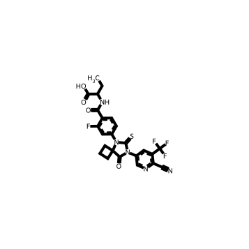 CCC(NC(=O)c1ccc(N2C(=S)N(c3cnc(C#N)c(C(F)(F)F)c3)C(=O)C23CCC3)cc1F)C(=O)O